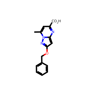 Cc1cc(C(=O)O)nc2cc(OCc3ccccc3)nn12